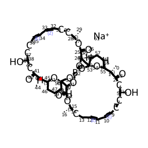 C[C@@H]1C(=O)C[C@@H](O)CC/C=C\C=C\CC[C@H](C)OC(=O)[C@@H]2O[B-]34O[C@@H](C(=O)O[C@@H](C)CC/C=C\C=C\CC[C@H](O)CC(=O)[C@@H](C)[C@@H]5CC[C@@H](C)[C@]2(O5)O3)[C@@]2(O[C@H]1CC[C@H]2C)O4.[Na+]